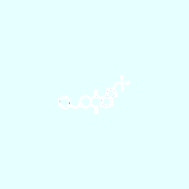 OC1CN(Cc2ccccc2)CCC1Nc1ncnc2sc(CC(F)(F)F)cc12